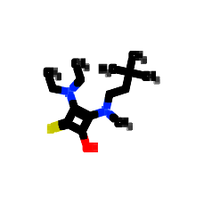 CCN(CC)C1=C(N(C)CCC(C)(C)C)C(O)C1=S